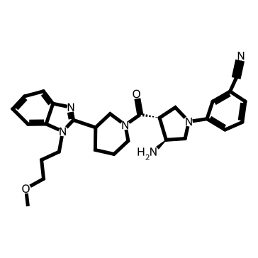 COCCCn1c(C2CCCN(C(=O)[C@@H]3CN(c4cccc(C#N)c4)C[C@H]3N)C2)nc2ccccc21